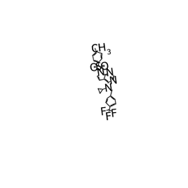 Cc1ccc(S(=O)(=O)n2ccc3c(N(Cc4ccc(C(F)(F)F)cc4)C4CC4)ncnc32)cc1